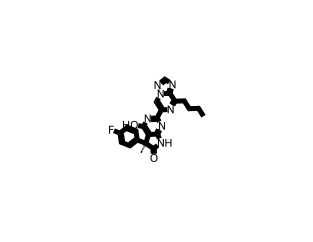 CCCCc1nc(-c2nc(O)c3c(n2)NC(=O)[C@@]3(C)c2ccc(F)cc2)cn2ncnc12